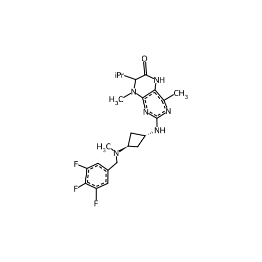 Cc1nc(N[C@H]2C[C@H](N(C)Cc3cc(F)c(F)c(F)c3)C2)nc2c1NC(=O)C(C(C)C)N2C